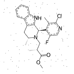 COC(=O)[C@H](C)CN1[C@H](c2c(F)cnc(Cl)c2C)c2[nH]c3ccccc3c2C[C@H]1C